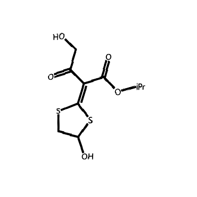 CC(C)OC(=O)C(C(=O)CO)=C1SCC(O)S1